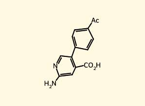 CC(=O)c1ccc(-c2cnc(N)cc2C(=O)O)cc1